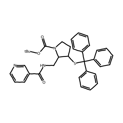 CC(C)(C)OC(=O)N1CCC(SC(c2ccccc2)(c2ccccc2)c2ccccc2)C1CNC(=O)c1cccnc1